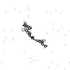 CCn1c2ccc(CNCCCn3cc(CN4C[C@H](C)N(Cc5c(C)cc(Cl)cc5-c5ccnc6cc(CN7C(=O)C8CC8C7=O)sc56)[C@@H](C)C4)cn3)cc2c2ccc(-c3cc(C)cs3)cc21